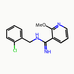 COc1ncccc1C(=N)NCc1ccccc1Cl